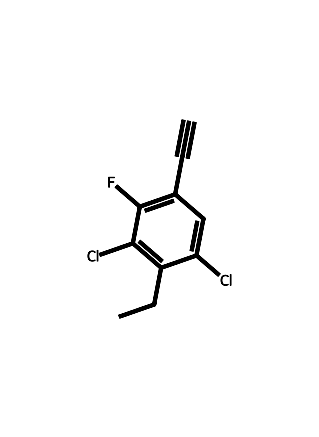 C#Cc1cc(Cl)c(CC)c(Cl)c1F